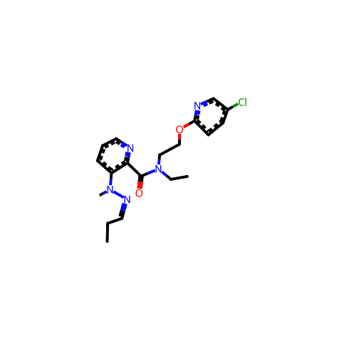 CC/C=N\N(C)c1cccnc1C(=O)N(CC)CCOc1ccc(Cl)cn1